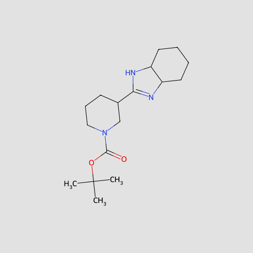 CC(C)(C)OC(=O)N1CCCC(C2=NC3CCCCC3N2)C1